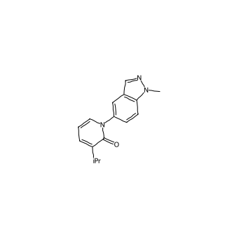 CC(C)c1cccn(-c2ccc3c(cnn3C)c2)c1=O